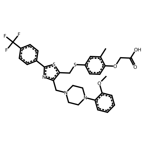 COc1ccccc1N1CCN(Cc2nc(-c3ccc(C(F)(F)F)cc3)sc2CSc2ccc(OCC(=O)O)c(C)c2)CC1